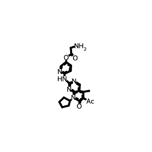 CC(=O)c1c(C)c2cnc(Nc3ccc(OC(=O)CN)cn3)nc2n(C2CCCC2)c1=O